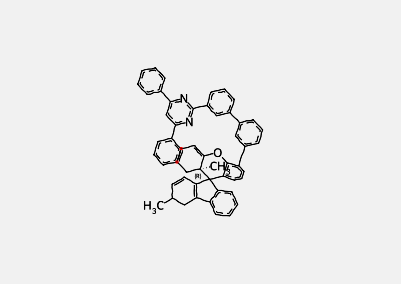 CC1C=CC2=C(C1)c1ccccc1C21c2cccc(-c3cccc(-c4cccc(-c5nc(-c6ccccc6)cc(-c6ccccc6)n5)c4)c3)c2OC2=CC=CC[C@@]21C